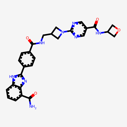 NC(=O)c1cccc2[nH]c(-c3ccc(C(=O)NCC4CN(c5ncc(C(=O)NC6COC6)cn5)C4)cc3)nc12